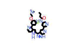 CCCC(=O)Nc1cncc(-c2cc3c(-c4cc5c(-c6cc(F)cc(OCCN(C)C)c6)nccc5[nH]4)n[nH]c3cn2)c1